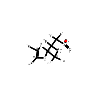 O=S(=O)(F)C(F)(F)C(F)(F)C1(C(F)(F)F)OC(F)=C(F)O1